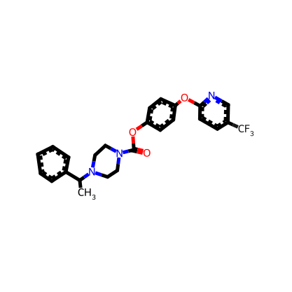 CC(c1ccccc1)N1CCN(C(=O)Oc2ccc(Oc3ccc(C(F)(F)F)cn3)cc2)CC1